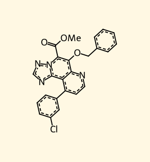 COC(=O)c1c(OCc2ccccc2)c2nccc(-c3cccc(Cl)c3)c2c2ncnn12